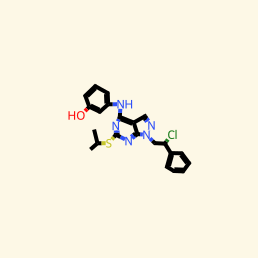 CC(C)Sc1nc(Nc2cccc(O)c2)c2cnn(CC(Cl)c3ccccc3)c2n1